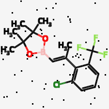 C/C(=C\B1OC(C)(C)C(C)(C)O1)c1c(Cl)cccc1C(F)(F)F